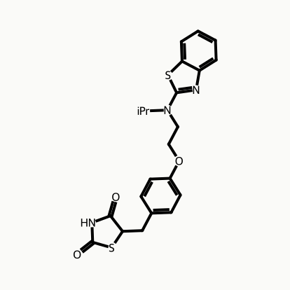 CC(C)N(CCOc1ccc(CC2SC(=O)NC2=O)cc1)c1nc2ccccc2s1